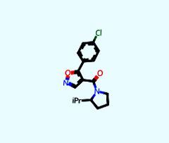 CC(C)C1CCCN1C(=O)c1cnoc1-c1ccc(Cl)cc1